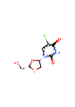 O=c1[nH]c(=O)n([C@@H]2CO[C@H](CO)O2)cc1F